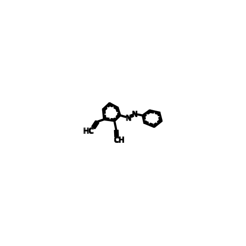 C#Cc1cccc(N=Nc2ccccc2)c1C#C